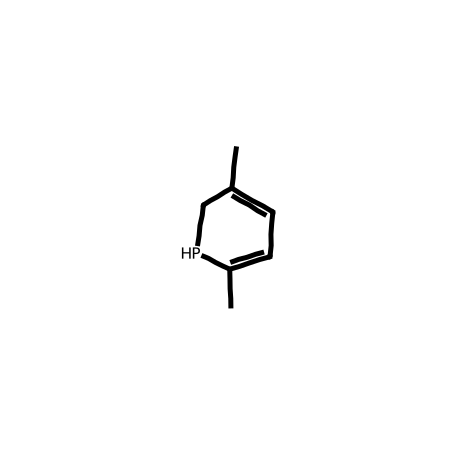 CC1=CC=C(C)PC1